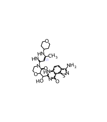 C/C(=C/C(=N)N1CCOC(C(O)c2nc(=O)c3c(ccc4c(N)nsc43)[nH]2)C1=O)NC1CCOCC1